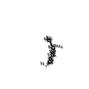 COc1cc(OC(F)(F)c2c(F)cc(-c3c(F)cc4cc(C)cc(F)c4c3F)cc2F)cc(F)c1C#Cc1cc(F)c(F)c(F)c1